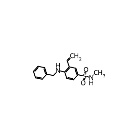 C=Cc1cc(S(=O)(=O)NC)ccc1NCc1ccccc1